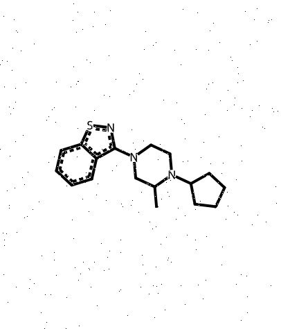 CC1CN(c2nsc3ccccc23)CCN1C1CCCC1